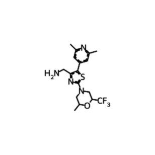 Cc1cc(-c2sc(N3CC(C)OC(C(F)(F)F)C3)nc2CN)cc(C)n1